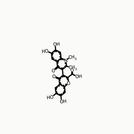 Cc1c(-c2c(C(=O)O)oc3cc(O)c(O)cc3c2=O)c(=O)c2cc(O)c(O)cc2n1C